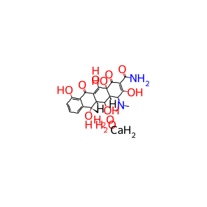 CN(C)[C@@H]1C(O)=C(C(N)=O)C(=O)[C@@]2(O)C(O)=C3C(=O)c4c(O)cccc4[C@@](C)(O)[C@H]3[C@H](O)[C@@H]12.O.O.[CaH2]